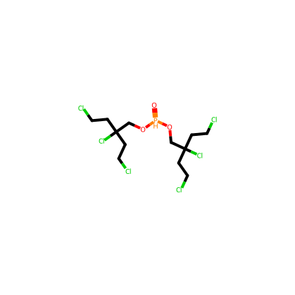 O=[PH](OCC(Cl)(CCCl)CCCl)OCC(Cl)(CCCl)CCCl